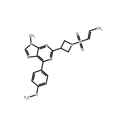 C/C=C/S(=O)(=O)N1CC(c2nc(-c3ccc(OC(F)(F)F)cc3)c3ncn(C)c3n2)C1